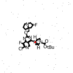 CC(C)(C)OC(=O)N1C[C@@H]2C[C@H]1CN2c1nc(OC[C@@]23CCCN2C[C@H](F)C3)nc2c(F)c(Cl)ncc12